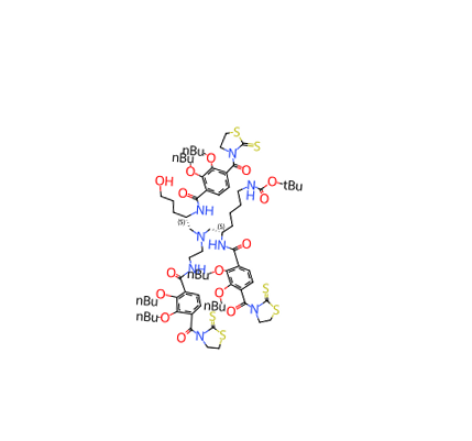 CCCCOc1c(C(=O)NCCN(C[C@H](CCCO)NC(=O)c2ccc(C(=O)N3CCSC3=S)c(OCCCC)c2OCCCC)C[C@H](CCCCNC(=O)OC(C)(C)C)NC(=O)c2ccc(C(=O)N3CCSC3=S)c(OCCCC)c2OCCCC)ccc(C(=O)N2CCSC2=S)c1OCCCC